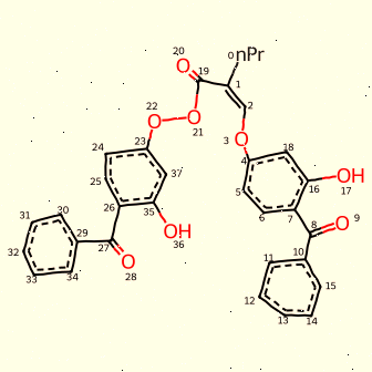 CCCC(=COc1ccc(C(=O)c2ccccc2)c(O)c1)C(=O)OOc1ccc(C(=O)c2ccccc2)c(O)c1